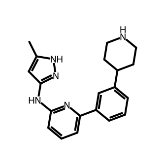 Cc1cc(Nc2cccc(-c3cccc(C4CCNCC4)c3)n2)n[nH]1